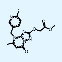 COC(=O)COc1nc2n(Cc3ccc(Cl)nc3)c(C)cc(=O)n2n1